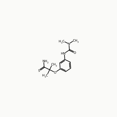 CN(C)C(=O)Nc1cccc(OC(C)(C)C(N)=S)c1